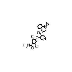 NC(=O)c1cc(Cl)c(Oc2ccncc2C(=O)N2CCN(C3CC3)c3ccccc32)cc1Cl